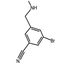 CNCc1cc(Br)cc(C#N)c1